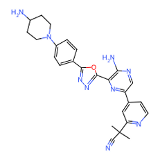 CC(C)(C#N)c1cc(-c2cnc(N)c(-c3nnc(-c4ccc(N5CCC(N)CC5)cc4)o3)n2)ccn1